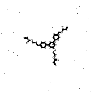 C=CC(=O)OCCCc1ccc(-c2cc(OCCOC(=O)C=C)cc(-c3ccc(COC(=O)C=C)cc3)c2)cc1